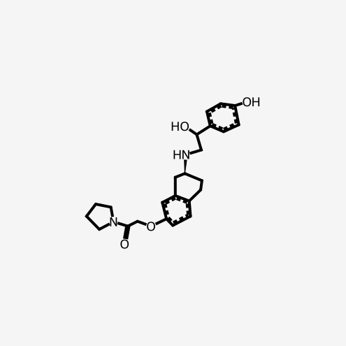 O=C(COc1ccc2c(c1)C[C@@H](NCC(O)c1ccc(O)cc1)CC2)N1CCCC1